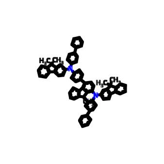 CC1(C)c2ccccc2-c2ccc(N(c3ccc(-c4ccccc4)cc3)c3ccc(-c4ccc5c6c4-c4ccccc4C6(C)c4cc(-c6ccccc6)ccc4N5c4ccc5c(c4)C(C)(C)c4ccccc4-5)cc3)cc21